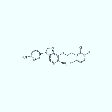 Nc1ccc(-c2coc3c(OCCc4c(Cl)ccc(F)c4Cl)c(N)ncc23)cn1